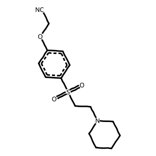 N#CCOc1ccc(S(=O)(=O)CCN2CCCCC2)cc1